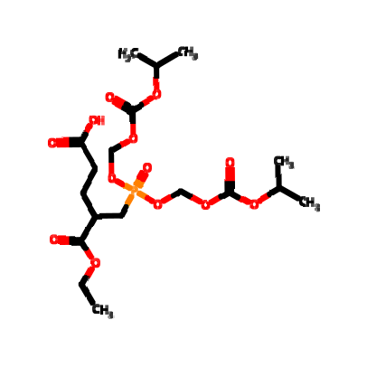 CCOC(=O)C(CCC(=O)O)CP(=O)(OCOC(=O)OC(C)C)OCOC(=O)OC(C)C